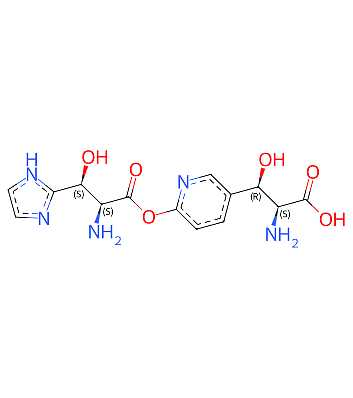 N[C@H](C(=O)O)[C@H](O)c1ccc(OC(=O)[C@@H](N)[C@H](O)c2ncc[nH]2)nc1